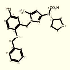 Cc1cc(N(C(=O)O)[C@H]2CCOC2)nn1Cc1cc(Cl)ccc1OCc1ccccc1